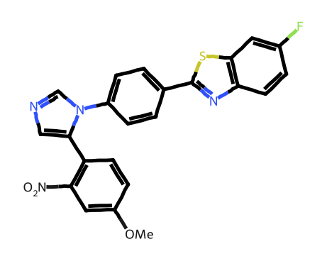 COc1ccc(-c2cncn2-c2ccc(-c3nc4ccc(F)cc4s3)cc2)c([N+](=O)[O-])c1